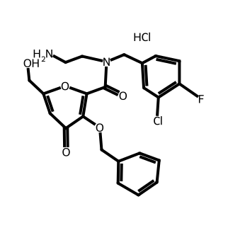 Cl.NCCN(Cc1ccc(F)c(Cl)c1)C(=O)c1oc(CO)cc(=O)c1OCc1ccccc1